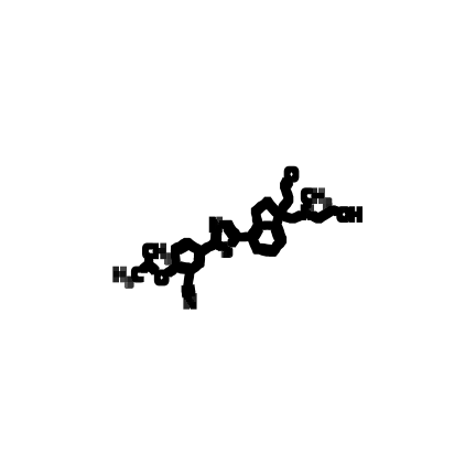 CC(C)Oc1ccc(-c2ncc(-c3cccc4c3CCC4(CC=O)CN(C)CCO)s2)cc1C#N